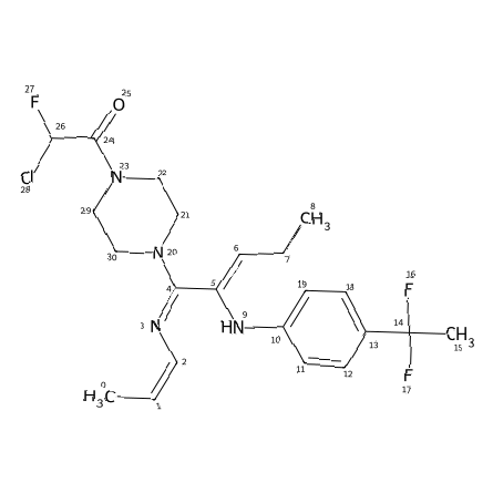 C\C=C/N=C(\C(=C\CC)Nc1ccc(C(C)(F)F)cc1)N1CCN(C(=O)C(F)Cl)CC1